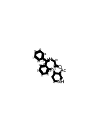 CC(=O)C1CNCCC1N1C(=O)CN=C(c2ccccc2)c2ccccc21